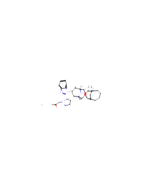 COC(=O)CN1CCC[C@H]1c1nc2ccccc2n1[C@@H]1C[C@@H]2CC[C@@H](C)[C@H](C1)N2[C@@H]1C[C@@H]2CCCC[C@@H](C2)C1